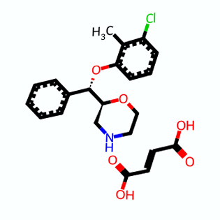 Cc1c(Cl)cccc1O[C@@H](c1ccccc1)[C@@H]1CNCCO1.O=C(O)C=CC(=O)O